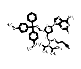 COc1ccc(C(OC[C@H]2O[C@@H](n3cnc4c(N)nc(F)nc43)CC2OP(OCCC#N)N(C(C)C)C(C)C)(c2ccccc2)c2ccc(OC)cc2)cc1